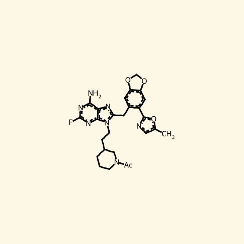 CC(=O)N1CCCC(CCn2c(Cc3cc4c(cc3-c3ncc(C)o3)OCO4)nc3c(N)nc(F)nc32)C1